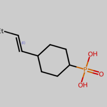 CC/C=C/C1CCC(P(=O)(O)O)CC1